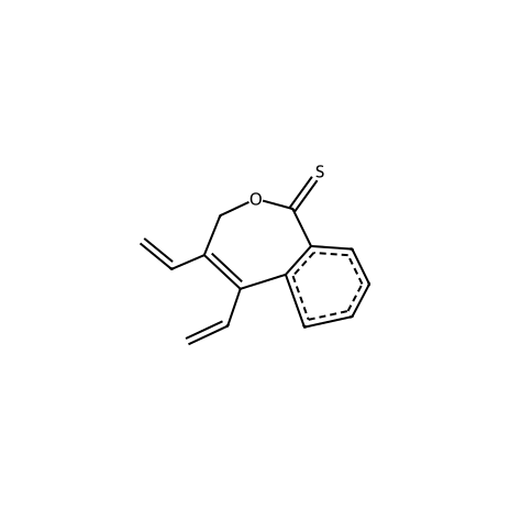 C=CC1=C(C=C)c2ccccc2C(=S)OC1